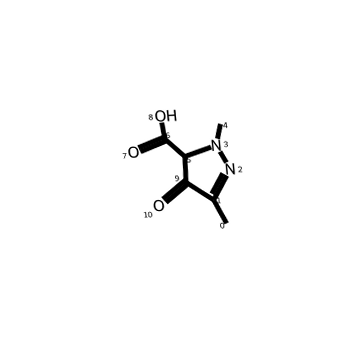 CC1=NN(C)C(C(=O)O)C1=O